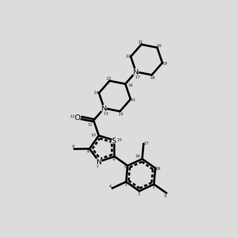 Cc1cc(C)c(-c2nc(C)c(C(=O)N3CCC(N4CCCCC4)CC3)s2)c(C)c1